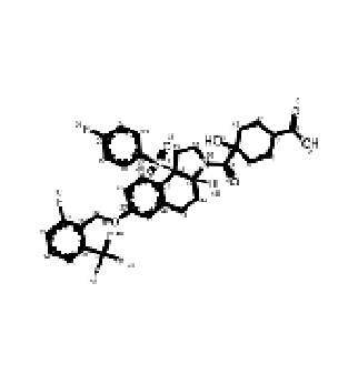 O=C(O)C1CCC(O)(C(=O)N2CC[C@@]3(S(=O)(=O)c4ccc(F)cc4)c4ccc(OCc5c(F)cccc5C(F)(F)F)cc4CC[C@@H]23)CC1